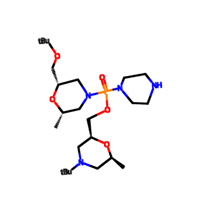 C[C@H]1CN(C(C)(C)C)C[C@@H](COP(=O)(N2CCNCC2)N2C[C@@H](COC(C)(C)C)O[C@@H](C)C2)O1